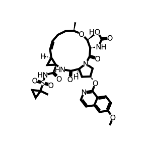 COc1ccc2c(O[C@@H]3C[C@H]4C(=O)N[C@]5(C(=O)NS(=O)(=O)C6(C)CC6)C[C@H]5/C=C\CC[C@@H](C)O[C@@H](C)[C@H](NC(=O)O)C(=O)N4C3)nccc2c1